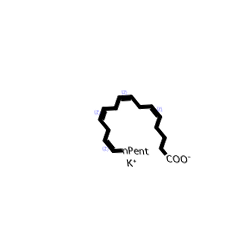 CCCCC/C=C\C/C=C\C/C=C\C/C=C\CCCC(=O)[O-].[K+]